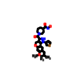 COc1cc2c(cc1C=C(C)C)C1=C(CO2)C(C(=O)N2CCCC(C(=O)N=O)CC2)NN1c1ccsc1